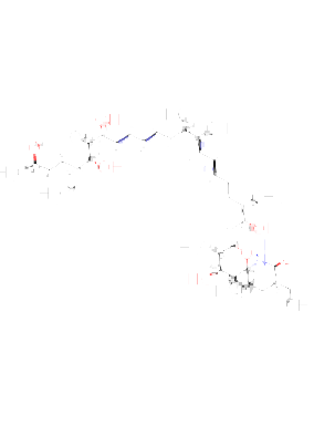 CC[C@H]1C[C@H](C)[C@@]2(NC1=O)O[C@@H](C[C@H](O)[C@@H](C)CC/C=C/C=C(\C)[C@@H](C)C/C=C/C=C/[C@H](O)[C@H](C)[C@@H](O)[C@H](CC)CCC(C)=O)[C@H](C)[C@H](O)[C@@H]2C